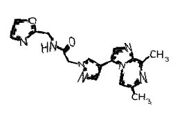 Cc1cn2c(-c3cnn(CC(=O)NCc4ncco4)c3)cnc2c(C)n1